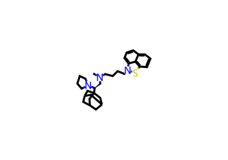 CN(CCCCN1Sc2cccc3cccc1c23)C[C@H](N1CCCC1)C12CC3CC(CC(C3)C1)C2